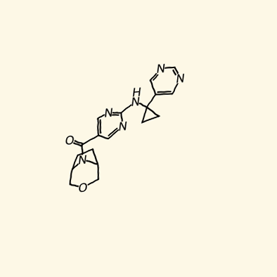 O=C(c1cnc(NC2(c3cncnc3)CC2)nc1)N1C2CCC1COC2